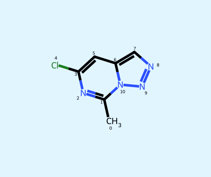 Cc1nc(Cl)cc2cnnn12